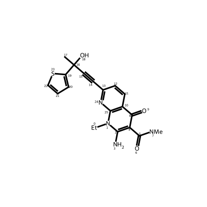 CCn1c(N)c(C(=O)NC)c(=O)c2ccc(C#CC(C)(O)c3cccs3)nc21